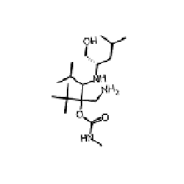 CNC(=O)O[C@@](CN)(C(N[C@H](CO)CC(C)C)C(C)C)C(C)(C)C